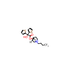 O=C(O[C@H]1C[N+]2(CCCC(F)(F)F)CCC1CC2)C(O)(c1cccs1)c1cccs1